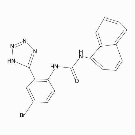 O=C(Nc1ccc(Br)cc1-c1nnn[nH]1)Nc1cccc2ccccc12